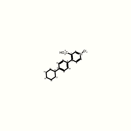 O=C(O)c1c[n+]([O-])ccc1-c1ccc(C2CCCCC2)cc1